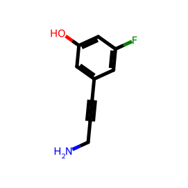 NCC#Cc1cc(O)cc(F)c1